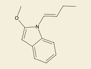 CCC=Cn1c(OC)cc2ccccc21